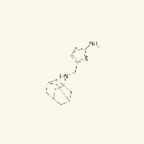 Nc1ccc(CNC23CC4CC(CC(C4)C2)C3)s1